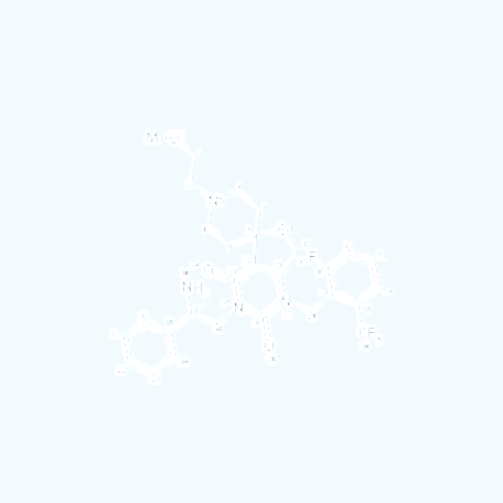 COCCN1CCC2(CC1)OCc1c2c(=O)n(CC(N)c2ccccc2)c(=O)n1Cc1c(F)cccc1C(F)(F)F